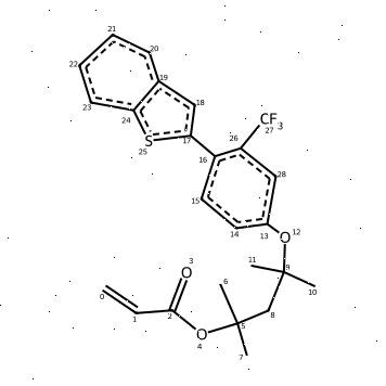 C=CC(=O)OC(C)(C)CC(C)(C)Oc1ccc(-c2cc3ccccc3s2)c(C(F)(F)F)c1